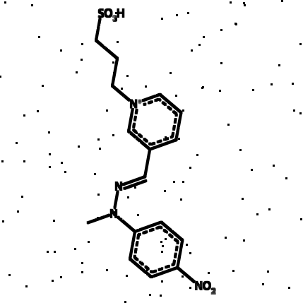 CN(N=Cc1ccc[n+](CCCS(=O)(=O)O)c1)c1ccc([N+](=O)[O-])cc1